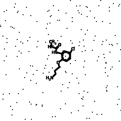 CNC(=O)Nc1cc(Cl)ccc1OCCCN